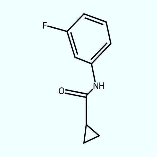 O=C(Nc1cccc(F)c1)C1CC1